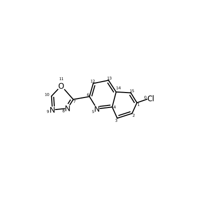 Clc1ccc2nc(-c3nnco3)ccc2c1